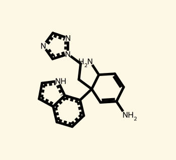 NC1=CC(CCn2cncn2)(c2cccc3cc[nH]c23)C(N)C=C1